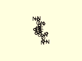 N#Cc1cncc(COc2cc(OCc3cccc(-c4cccc(COc5cc(OCc6cncc(C#N)c6)c(CN6CCCCC6)cc5C(F)F)c4Cl)c3Cl)c(C(F)F)cc2CN2CCCCC2)c1